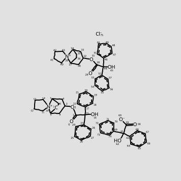 O=C(OC1CC2CCC(C1)[N+]21CCCC1)C(O)(c1ccccc1)c1ccccc1.O=C(OC1CC2CCC(C1)[N+]21CCCC1)C(O)(c1ccccc1)c1ccccc1.O=C([O-])C(O)(c1ccccc1)c1ccccc1.[Cl-]